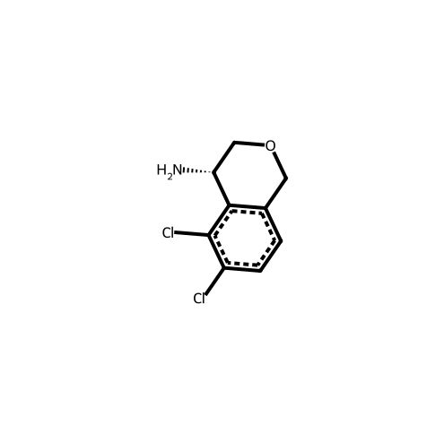 N[C@@H]1COCc2ccc(Cl)c(Cl)c21